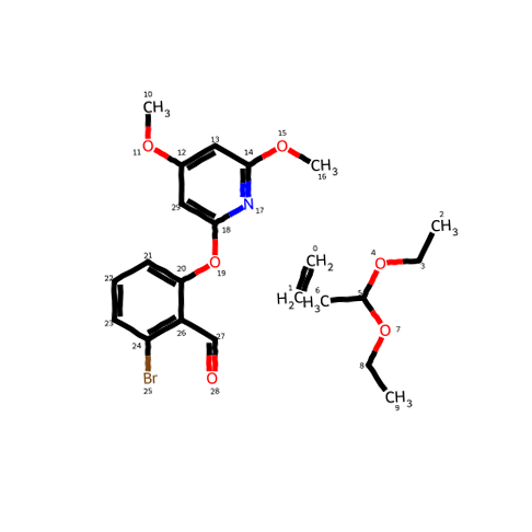 C=C.CCOC(C)OCC.COc1cc(OC)nc(Oc2cccc(Br)c2C=O)c1